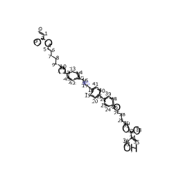 C=CC(=O)OCCCCCCOc1ccc(/C=C/c2ccc(-c3ccc(OCCCCOC(=O)C(=C)CO)cc3)cc2)cc1